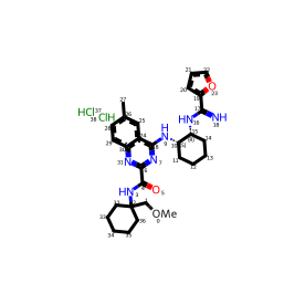 COCC1(NC(=O)c2nc(N[C@H]3CCCC[C@H]3NC(=N)c3ccco3)c3cc(C)ccc3n2)CCCCC1.Cl.Cl